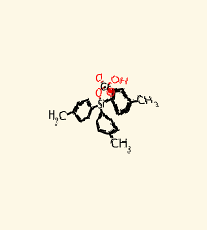 Cc1ccc([Si]([O][Cr](=[O])(=[O])[OH])(c2ccc(C)cc2)c2ccc(C)cc2)cc1